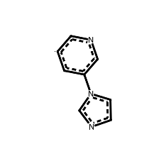 [c]1cncc(-n2ccnc2)c1